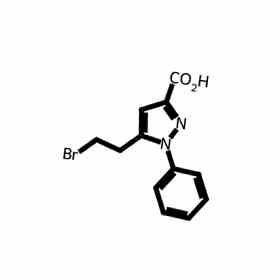 O=C(O)c1cc(CCBr)n(-c2ccccc2)n1